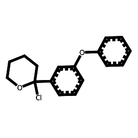 ClC1(c2cccc(Oc3ccccc3)c2)CCCCO1